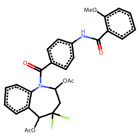 COc1ccccc1C(=O)Nc1ccc(C(=O)N2c3ccccc3C(OC(C)=O)C(F)(F)CC2OC(C)=O)cc1